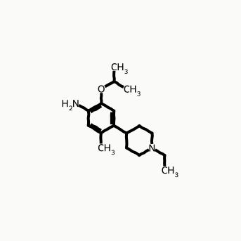 CCN1CCC(c2cc(OC(C)C)c(N)cc2C)CC1